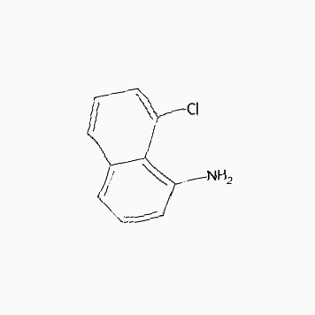 Nc1cccc2cccc(Cl)c12